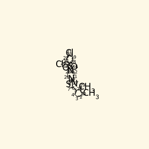 Cc1cccc(-c2csc(N3CCN(S(=O)(=O)c4ccc(Cl)cc4Cl)CC3)n2)c1C